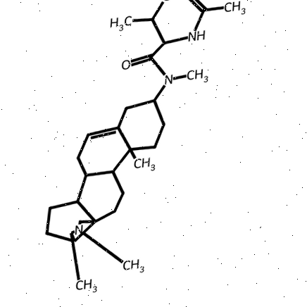 CC(=O)NC(C(=O)N(C)C1CCC2(C)C(=CCC3C2CCC24CN(C)C(C)C2CCC34)C1)C(C)C